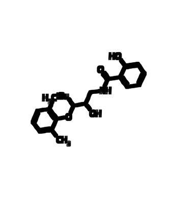 Cc1cccc(C)c1OC(C(O)CNC(=O)c1ccccc1O)C(C)(C)C